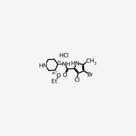 CCO[C@@H]1CNCC[C@H]1NC(=O)c1[nH]c(C)c(Br)c1Cl.Cl